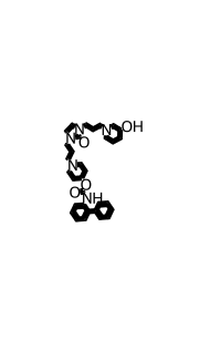 O=C(Nc1ccccc1-c1ccccc1)OC1CCN(CCCN2CCN(CCCN3CCCC(O)C3)C2=O)CC1